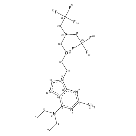 CCN(CC)c1nc(N)nc2c1ncn2CCOCP(CC(F)(F)F)CC(F)(F)F